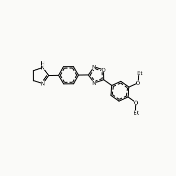 CCOc1ccc(-c2nc(-c3ccc(C4=NCCN4)cc3)no2)cc1OCC